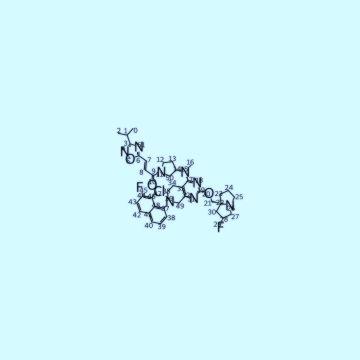 CC(C)c1noc(/C=C/C(=O)N2CC[C@@H](N(C)c3nc(OC[C@@]45CCCN4C[C@H](F)C5)nc4c3CCN(c3cccc5ccc(F)c(Cl)c35)C4)C2)n1